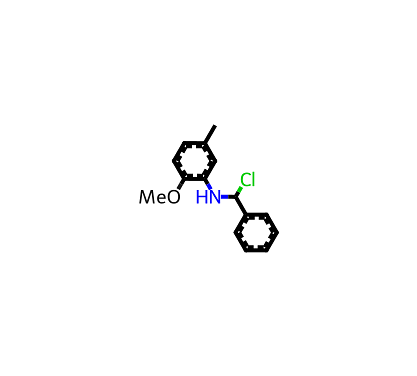 COc1ccc(C)cc1NC(Cl)c1ccccc1